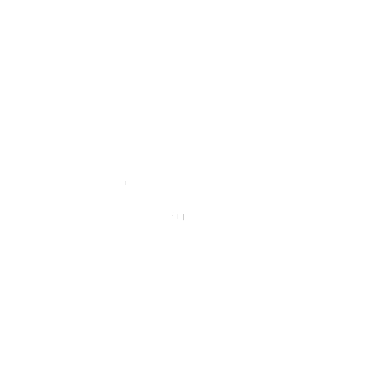 CC#CC(C)C(=O)CCCC